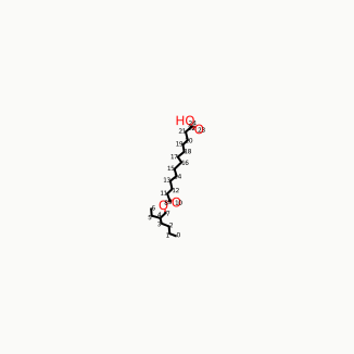 CCCCC(CC)COC(=O)CCCCCCCCCCCC(=O)O